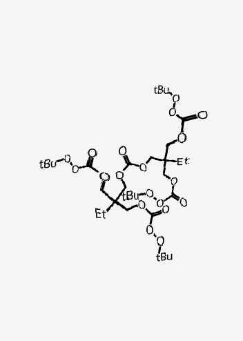 CCC(COC(=O)OCC(CC)(COC(=O)OOC(C)(C)C)COC(=O)OOC(C)(C)C)(COC(=O)OOC(C)(C)C)COC(=O)OOC(C)(C)C